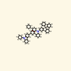 c1ccc(-c2ccc(N(c3ccc4c(c3)-c3ccccc3C4(c3ccccc3)c3ccccc3)c3ccccc3-c3cccc(-c4ccc5c(c4)c4ccccc4n5-c4ccccc4)c3)cc2)cc1